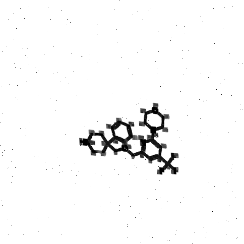 FC(F)(F)c1cc(COCC2(c3ccccc3)CCNCC2)nc(N2CCOCC2)c1